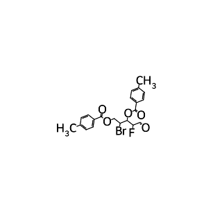 Cc1ccc(C(=O)OCC(Br)C(OC(=O)c2ccc(C)cc2)C(F)C=O)cc1